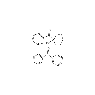 O=C(c1ccccc1)C1(O)CCCCC1.O=[P](c1ccccc1)c1ccccc1